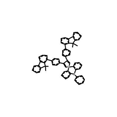 CC1(C)c2ccccc2-c2cccc(-c3ccc(C4=C[Si]5(C=C4c4ccc(-c6cccc7c6C(C)(C)c6ccccc6-7)cc4)c4ccccc4B(c4ccccc4)c4ccccc45)cc3)c21